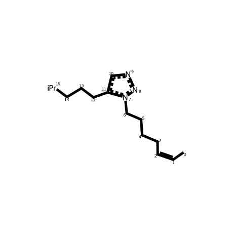 C/C=C\CCCCn1nncc1CCCC(C)C